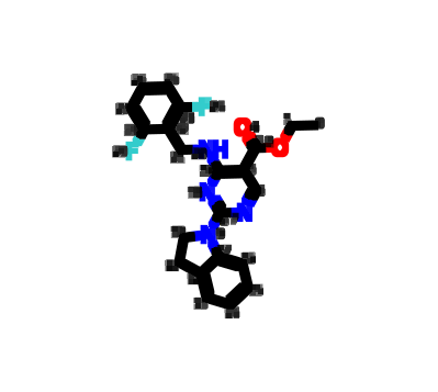 CCOC(=O)c1cnc(N2CCc3ccccc32)nc1NCc1c(F)cccc1F